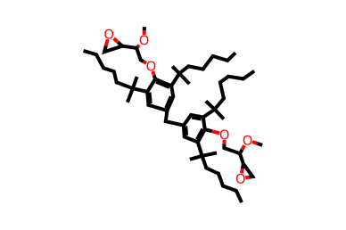 CCCCCC(C)(C)c1cc(Cc2cc(C(C)(C)CCCCC)c(OCC(OC)C3CO3)c(C(C)(C)CCCCC)c2)cc(C(C)(C)CCCCC)c1OCC(OC)C1CO1